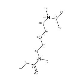 CCC(=O)N(C)CCOCCN(C)C(C)C